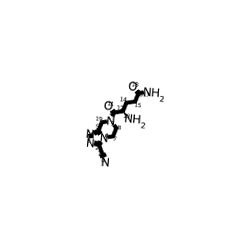 N#Cc1nnc2n1CCN(C(=O)[C@@H](N)CCC(N)=O)C2